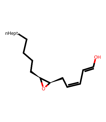 CCCCCCCCCCC[C@@H]1O[C@@H]1C/C=C\C=C\O